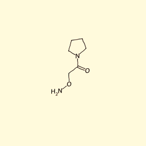 NOCC(=O)N1CCCC1